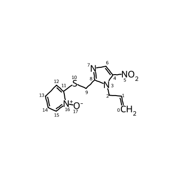 C=CCn1c([N+](=O)[O-])cnc1CSc1cccc[n+]1[O-]